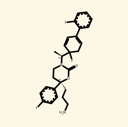 C[C@H](N1CC[C@](CCCN)(c2ccc(F)cc2)OC1=O)C1(F)C=CC(c2ccccc2F)=CC1